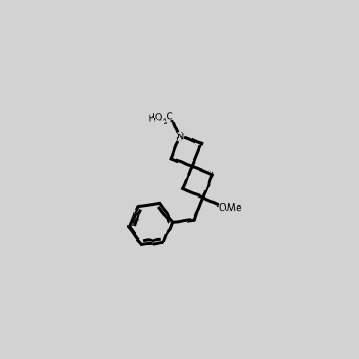 COC1(Cc2ccccc2)CC2(CN(C(=O)O)C2)C1